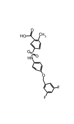 Cc1ccc(S(=O)(=O)Nc2ccc(OCc3cc(F)cc(F)c3)cc2)cc1C(=O)O